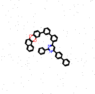 c1ccc(-c2ccc(-c3cc(-c4cccc(-c5cccc(-c6ccc7c(c6)Oc6c(ccc8ccccc68)O7)c5)c4)nc(-c4ccccc4)n3)cc2)cc1